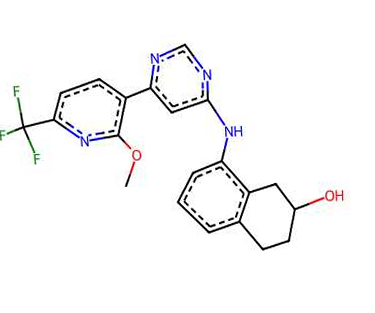 COc1nc(C(F)(F)F)ccc1-c1cc(Nc2cccc3c2CC(O)CC3)ncn1